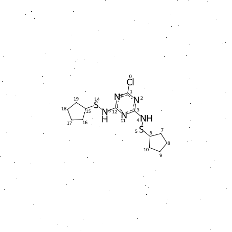 Clc1nc(NSC2CCCC2)nc(NSC2CCCC2)n1